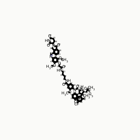 COc1cc(C(=O)NCCCCNC(=O)COc2c(OC)cc(/N=N\c3cccc4c3CN(C3CCC(=O)NC3=O)C4=O)cc2OC)ccc1NC(=O)[C@@H]1N[C@@H](CC(C)(C)C)[C@](C)(c2ccc(Cl)cc2F)[C@H]1c1cccc(Cl)c1F